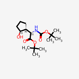 CC(C)(C)OC(=O)N[C@H](C(=O)OC(C)(C)C)[C@H]1CCC[C@@H]1O